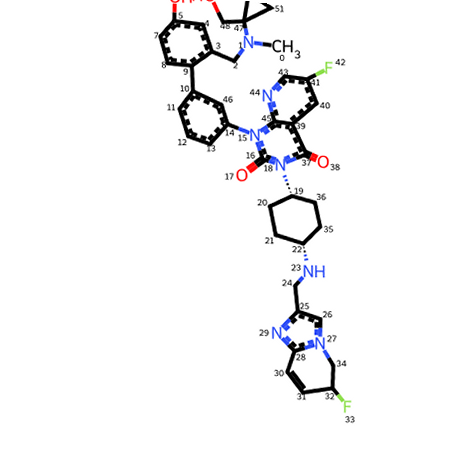 CN(Cc1cc(O)ccc1-c1cccc(-n2c(=O)n([C@H]3CC[C@@H](NCc4cn5c(n4)C=CC(F)C5)CC3)c(=O)c3cc(F)cnc32)c1)C1(CO)CC1